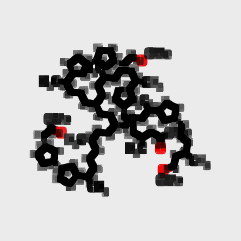 COOCC[C@H](C)CCC[C@H]1CC[C@H]([C@H](C)CCC[C@@H](CC[C@@H](C)CCC[C@@H](C)[C@H]2CC[C@H](C3CC[C@H](CC(=O)OC)C3)C2)CC[C@@H](CCC[C@@H](C)[C@H]2CC[C@H](C3CC[C@H](CCOOC)C3)C2)CC[C@@H](C)CCC[C@@H](C)[C@H]2CC[C@H](CCC[C@@H](C)CC(=O)OC)C2)C1